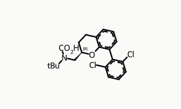 CC(C)(C)N(C[C@H]1CCc2cccc(-c3c(Cl)cccc3Cl)c2O1)C(=O)O